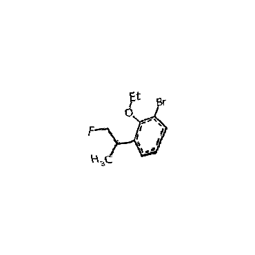 CCOc1c(Br)cccc1[C](C)CF